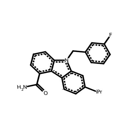 CC(C)c1c[c]c2c3c(C(N)=O)cccc3n(Cc3cccc(F)c3)c2c1